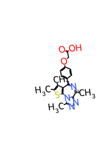 Cc1sc2c(c1C)C(c1ccc(OCC(=O)O)cc1)=N[C@@H](C)c1nnc(C)n1-2